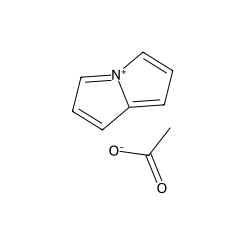 C1=CC2=CC=C[N+]2=C1.CC(=O)[O-]